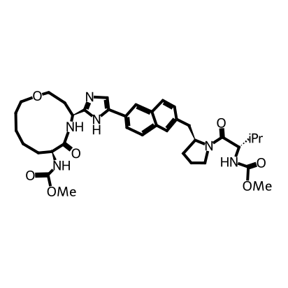 COC(=O)N[C@H]1CCCCCOCC[C@@H](c2ncc(-c3ccc4cc(C[C@@H]5CCCN5C(=O)[C@@H](NC(=O)OC)C(C)C)ccc4c3)[nH]2)NC1=O